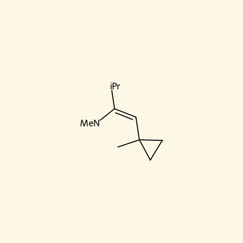 CN/C(=C\C1(C)CC1)C(C)C